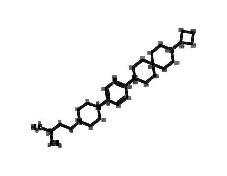 CN(C)CCN1CCN(c2ccc(N3CCC4(CC3)CCN(C3CCC3)CC4)nc2)CC1